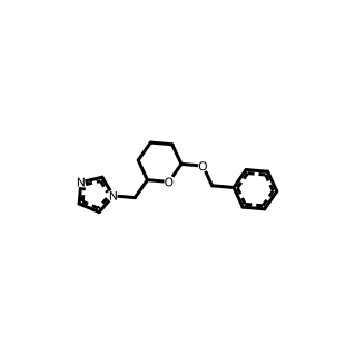 c1ccc(COC2CCCC(Cn3ccnc3)O2)cc1